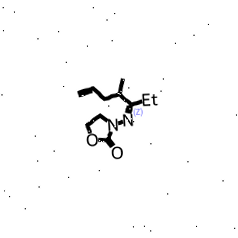 C=CCC(C)/C(CC)=N\N1CCOC1=O